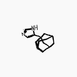 [c]1ncc(C23CC4CC(CC(C4)C2)C3)[nH]1